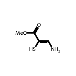 COC(=O)/C(S)=C/N